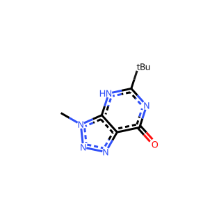 Cn1nnc2c(=O)nc(C(C)(C)C)[nH]c21